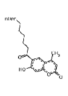 CCCCCCCCCCCCCCCC(=O)c1cc2c(C)cc(=O)oc2cc1O